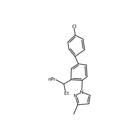 CCCC(CC)c1cc(-c2ccc(Cl)cc2)ccc1-n1ccc(C)n1